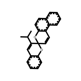 CC(C)C1=Cc2ccccc2OC12C=Cc1c(ccc3ccccc13)O2